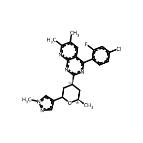 Cc1cc2c(-c3ccc(Cl)cc3F)nc([C@@H]3CC(c4cnn(C)c4)O[C@H](C)C3)nc2nc1C